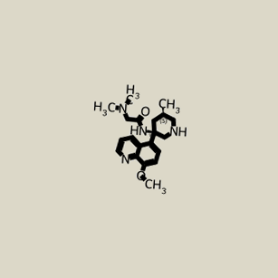 COc1ccc([C@@]2(NC(=O)CN(C)C)CNC[C@@H](C)C2)c2cccnc12